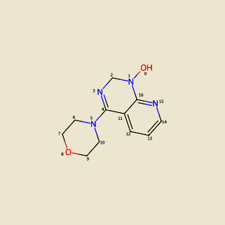 ON1CN=C(N2CCOCC2)c2cccnc21